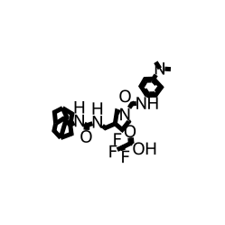 CN(C)c1ccc(NC(=O)N2CCC(CNC(=O)NC34CC5CC(CC(C5)C3)C4)C2)cc1.O=C(O)C(F)(F)F